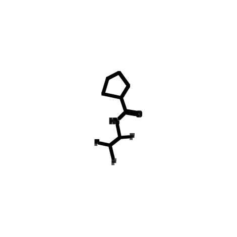 O=C(NC(F)C(F)F)C1CCCC1